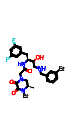 CCc1cccc(CNC[C@H](O)[C@H](Cc2cc(F)cc(F)c2)NC(=O)CN2C[C@H](C)N(CC)C(=O)C2=O)c1